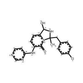 CC1(Cc2ccc(Cl)cc2)NC(O)c2ccc(Nc3ccncn3)c(=O)n21